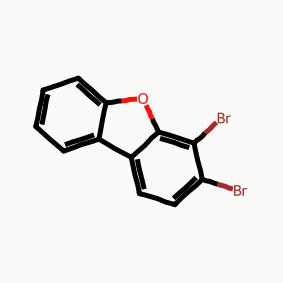 Brc1ccc2c(oc3ccccc32)c1Br